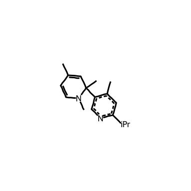 CC1=CC(C)(c2cnc(C(C)C)cc2C)N(C)C=C1